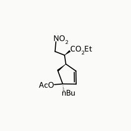 CCCC[C@@]1(OC(C)=O)C=C[C@H]([C@@H](C[N+](=O)[O-])C(=O)OCC)C1